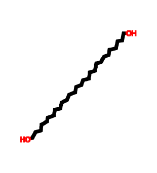 OCCCCCCCCCCCCCCCCCCCCCCCCCCCCO